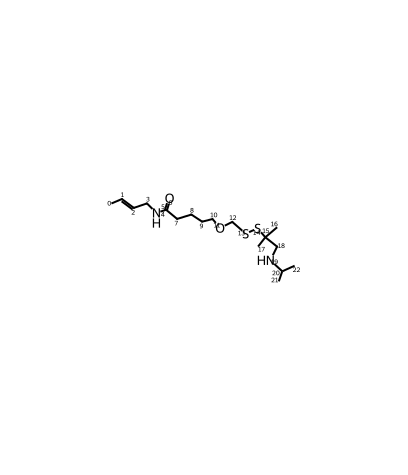 C/C=C/CNC(=O)CCCCOCSSC(C)(C)CNC(C)C